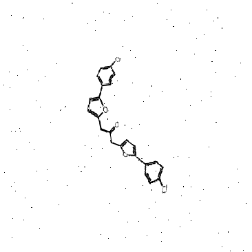 O=C(Cc1ccc(-c2ccc(Cl)cc2)o1)Cc1ccc(-c2ccc(Cl)cc2)o1